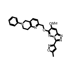 COc1cc2nnc(-c3cc(C)on3)n2nc1OCc1ccc2c(n1)CCN(c1ccccc1)C2